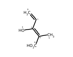 C=C/C(O)=C(\C)C(=O)O